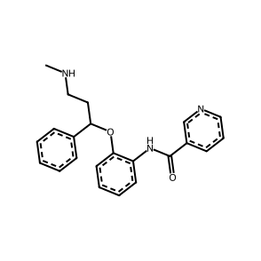 CNCCC(Oc1ccccc1NC(=O)c1cccnc1)c1ccccc1